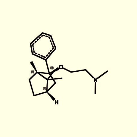 CN(C)CCO[C@@]1(c2ccccc2)C[C@@H]2CC[C@@]1(C)C2(C)C